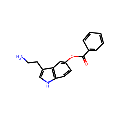 NCCc1c[nH]c2ccc(OC(=O)c3ccccc3)cc12